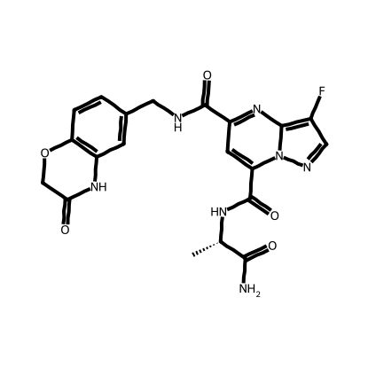 C[C@H](NC(=O)c1cc(C(=O)NCc2ccc3c(c2)NC(=O)CO3)nc2c(F)cnn12)C(N)=O